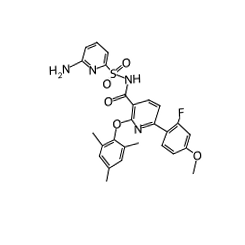 COc1ccc(-c2ccc(C(=O)NS(=O)(=O)c3cccc(N)n3)c(Oc3c(C)cc(C)cc3C)n2)c(F)c1